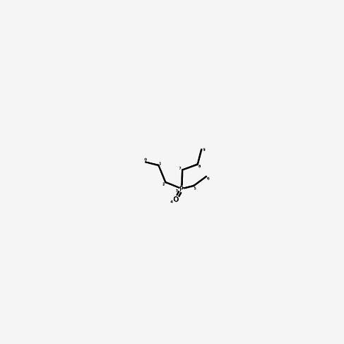 CCCP(=O)(CC)CCC